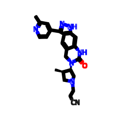 Cc1cc(-c2n[nH]c3cc4c(cc23)CN([C@@H]2CN(CCC#N)C[C@H]2C)C(=O)N4)ccn1